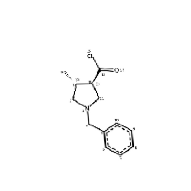 C[C@H]1CN(Cc2ccccc2)C[C@@H]1C(=O)Cl